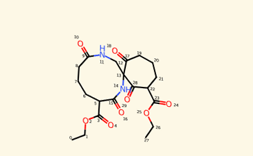 CCOC(=O)C1CCCC(=O)NCC2(NC1=O)C(=O)CCCC(C(=O)OCC)C2=O